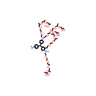 CC(O)COC(C)COCCOCCOCCN(CCOCCOCC(C)OCC(C)OCC(C)O)c1ccc(C(c2ccc(N(C)C)cc2)c2ccc(NCCOCCOCCOCC(C)OC(C)(C)O)c(CCOCCOCC(C)OCC(C)OCC(C)O)c2)cc1